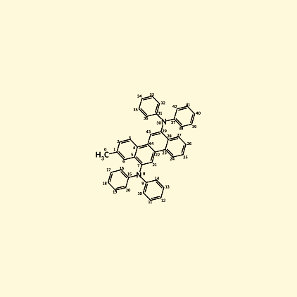 Cc1ccc2c(c1)c(N(c1ccccc1)c1ccccc1)cc1c3ccccc3c(N(c3ccccc3)c3ccccc3)cc21